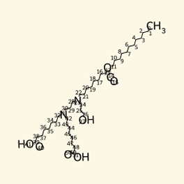 CCCCCCCCCCCCOC(=C=O)CCCCCCCN(CCCO)CCCN(CCCCCCCC(=O)O)CCCCCCCC(=O)O